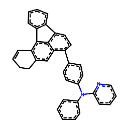 C1=Cc2c(cc3c(-c4ccc(N(c5ccccc5)c5ccccn5)cc4)ccc4c3c2-c2ccccc2-4)CC1